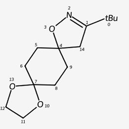 CC(C)(C)C1=NOC2(CCC3(CC2)OCCO3)C1